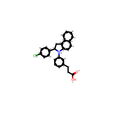 O=C(O)CCc1cccc(N2c3ccc4ccccc4c3CC2c2ccc(Cl)cc2)c1